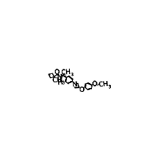 CCOc1ccc(OC2CN(c3ccc([C@H](C)NC(=O)C4(C)CCC4)cc3)C2)cc1